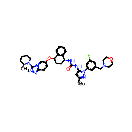 C[C@H]1CCCCN1c1nnc2ccc(O[C@@H]3CC[C@H](NC(=O)Nc4cc(C(C)(C)C)nn4-c4cc(F)cc(CN5CCOCC5)c4)c4ccccc43)cn12